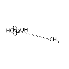 CCCCCCCCCCCCCCCCC(O)COC(=O)C(=O)O